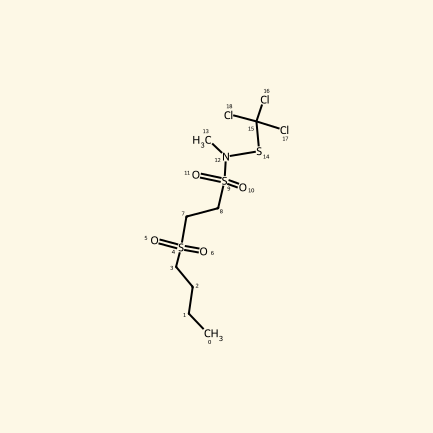 CCCCS(=O)(=O)CCS(=O)(=O)N(C)SC(Cl)(Cl)Cl